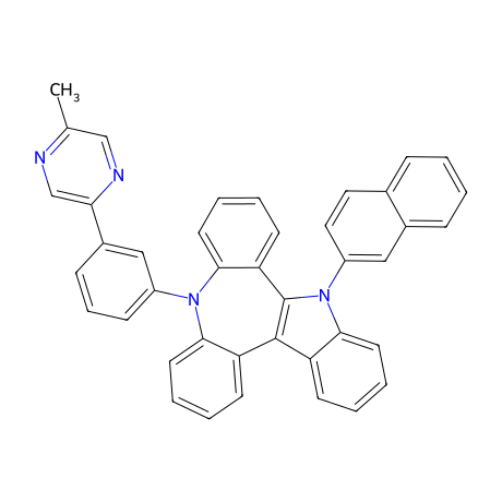 Cc1cnc(-c2cccc(N3c4ccccc4-c4c(n(-c5ccc6ccccc6c5)c5ccccc45)-c4ccccc43)c2)cn1